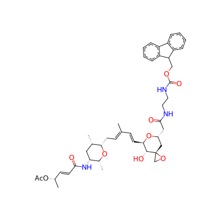 CC(=O)O[C@@H](C)C=CC(=O)N[C@@H]1C[C@H](C)[C@H](CC=C(C)C=C[C@H]2O[C@H](CC(=O)NCCNC(=O)OCC3c4ccccc4-c4ccccc43)C[C@@]3(CO3)[C@@H]2O)O[C@@H]1C